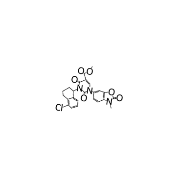 COC(=O)c1cn(-c2ccc3c(c2)oc(=O)n3C)c(=O)n(C2CCCc3c(Cl)cccc32)c1=O